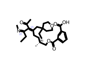 CCC(=N/C)/C(C(C)=O)=C(\CC[C@@H](C)COC(=O)c1cccc(C(=O)O)c1)CC1(CC)CCOCC1